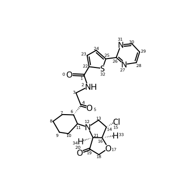 O=C(NCC(=O)[C@H]1CCCCC1N1C[C@H](Cl)[C@H]2OCC(=O)[C@H]21)c1ccc(-c2ncccn2)s1